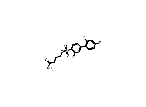 NC(=O)CCCOS(=O)(=O)c1ccc(-c2ccc(F)cc2F)cc1Cl